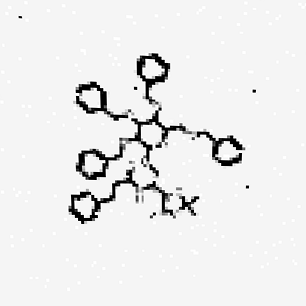 C[C@H]1OC(C)(C)O[C@H]1[C@H](COC1OC(COCc2ccccc2)C(OCc2ccccc2)C(OCc2ccccc2)C1OCc1ccccc1)NC(=O)CCc1ccccc1